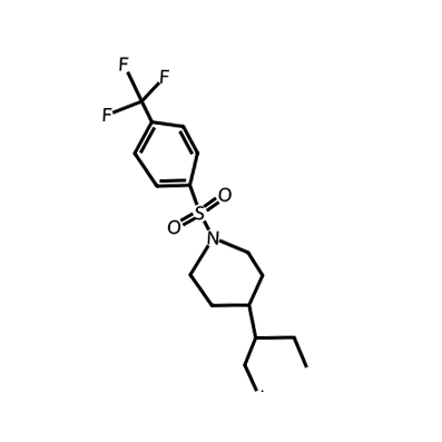 [CH2]CC(CC)C1CCN(S(=O)(=O)c2ccc(C(F)(F)F)cc2)CC1